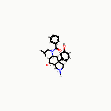 CC(C)CN(C(=O)c1ccccc1)[C@@H]1CC(O)C2CN(C)CCC2(c2cccc(O)c2)C1